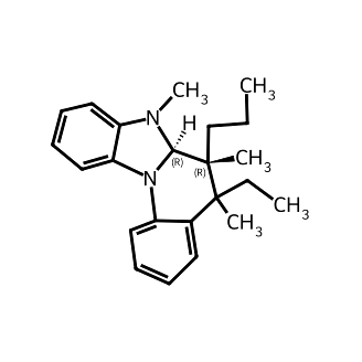 CCC[C@@]1(C)[C@@H]2N(C)c3ccccc3N2c2ccccc2C1(C)CC